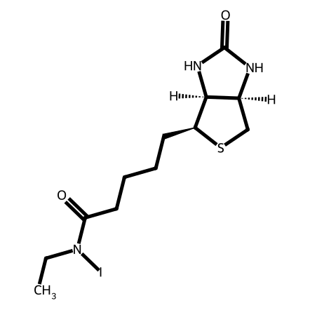 CCN(I)C(=O)CCCC[C@@H]1SC[C@@H]2NC(=O)N[C@@H]21